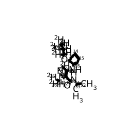 [2H]C1(OC([2H])([2H])C([2H])([2H])C([2H])([2H])[2H])CC=CC=C1Nc1cnn(C([2H])([2H])[2H])c1C(=O)NC(C)C